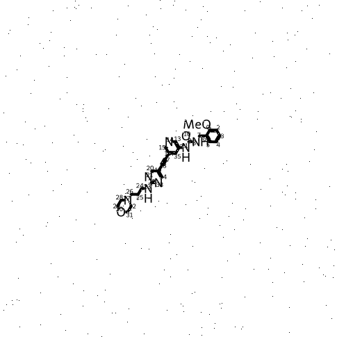 COc1ccccc1CNC(=O)Nc1cncc(C#Cc2cnc(NCCCN3CCOCC3)nc2)c1